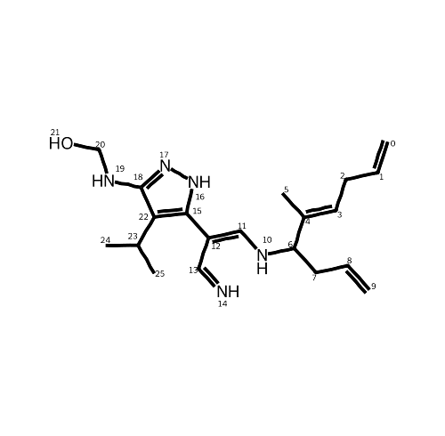 C=CC/C=C(\C)C(CC=C)N/C=C(\C=N)c1[nH]nc(NCO)c1C(C)C